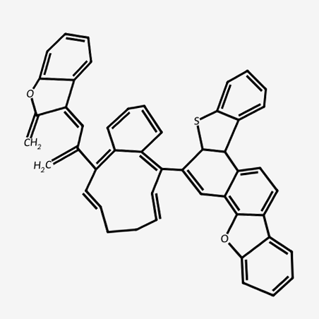 C=C(/C=c1\c(=C)oc2ccccc12)C1=c2\cccc\c2=C(C2=Cc3c(ccc4c3oc3ccccc34)C3c4ccccc4SC23)\C=C\CC\C=C\1